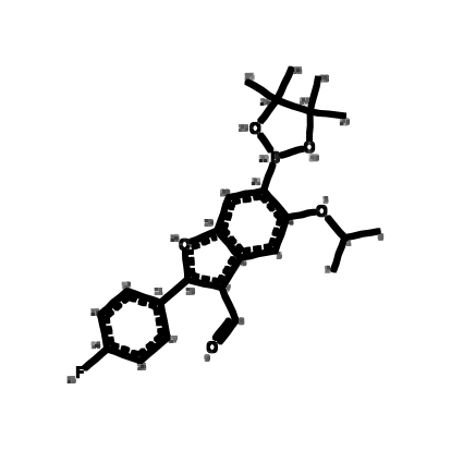 CC(C)Oc1cc2c(C=O)c(-c3ccc(F)cc3)oc2cc1B1OC(C)(C)C(C)(C)O1